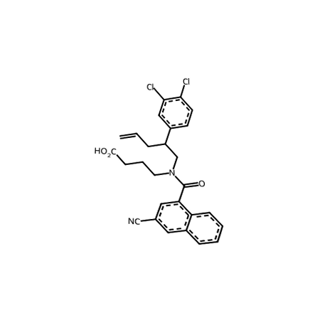 C=CCC(CN(CCCC(=O)O)C(=O)c1cc(C#N)cc2ccccc12)c1ccc(Cl)c(Cl)c1